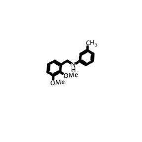 COc1cccc(CNc2cccc(C)c2)c1OC